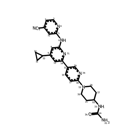 N#Cc1ccnc(Nc2cc(C3CC3)cc(-c3ccc(N4CCC(NC(N)=O)CC4)nc3)n2)c1